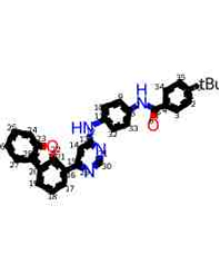 CC(C)(C)c1ccc(C(=O)Nc2ccc(Nc3cc(-c4cccc5c4oc4ccccc45)ncn3)cc2)cc1